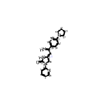 N=C(/C=C1/CN(c2ccccn2)C(=O)N1)c1ccc(N2CCCC2)nc1